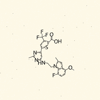 COc1ccc(F)c2c1cc(C)n2CCNc1cc(-c2cc(C(F)(F)F)c(C(=O)O)s2)nc(C)n1